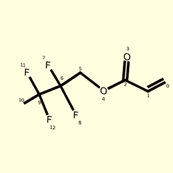 C=CC(=O)OCC(F)(F)C(C)(F)F